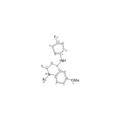 COc1ccc2c(c1)C(Nc1ccc(F)cc1)CC(C)N2C(C)=O